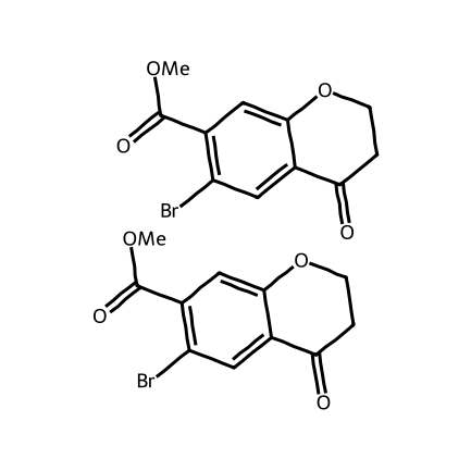 COC(=O)c1cc2c(cc1Br)C(=O)CCO2.COC(=O)c1cc2c(cc1Br)C(=O)CCO2